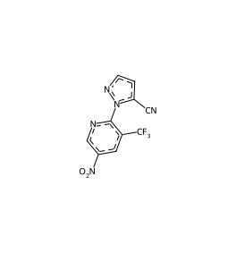 N#Cc1ccnn1-c1ncc([N+](=O)[O-])cc1C(F)(F)F